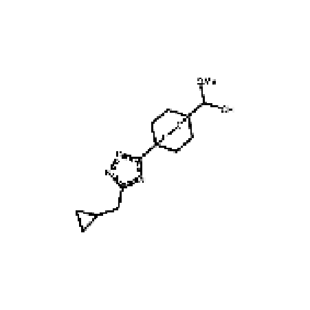 COC(O)C12CCC(c3nc(CC4CC4)no3)(CC1)CC2